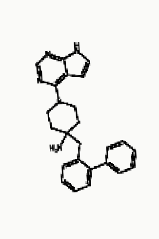 NC1(Cc2ccccc2-c2ccccc2)CCN(c2ncnc3[nH]ccc23)CC1